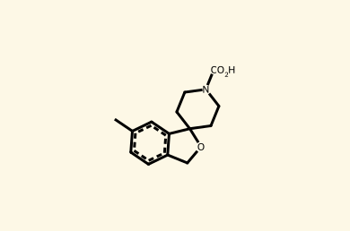 Cc1ccc2c(c1)C1(CCN(C(=O)O)CC1)OC2